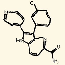 NC(=O)c1ccc2[nH]c(-c3ccncc3)c(-c3cccc(Cl)c3)c2n1